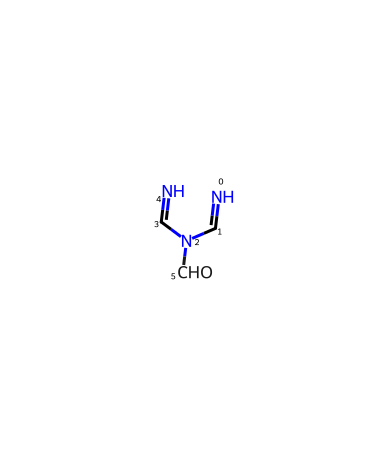 N=CN(C=N)C=O